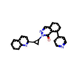 O=c1c2c(-c3ccncc3)cccc2cnn1C1CC1c1ccc2ccccc2n1